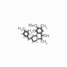 COc1c(C)cc(C(O)C(C)N2CCC(Cc3ccc(C)cc3)CC2)cc1C